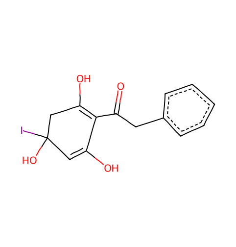 O=C(Cc1ccccc1)C1=C(O)CC(O)(I)C=C1O